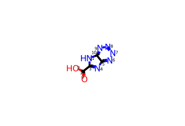 O=C(O)c1nc2nnnnc2[nH]1